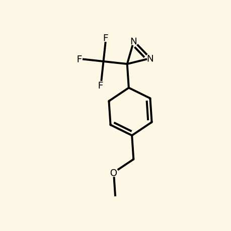 COCC1=CCC(C2(C(F)(F)F)N=N2)C=C1